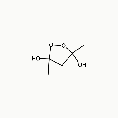 CC1(O)CC(C)(O)OO1